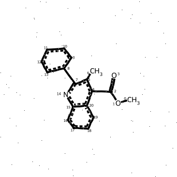 COC(=O)c1c(C)c(-c2ccccc2)nc2ccccc12